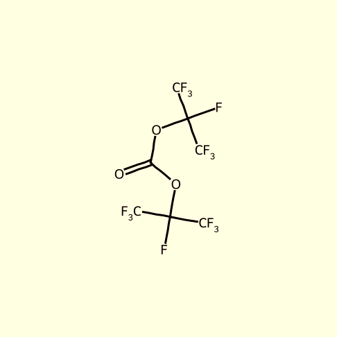 O=C(OC(F)(C(F)(F)F)C(F)(F)F)OC(F)(C(F)(F)F)C(F)(F)F